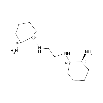 N[C@@H]1CCCC[C@@H]1NCCN[C@H]1CCCC[C@@H]1N